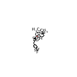 CC(C)[C@H]1CO[C@]23CCN(S(=O)(=O)CCCc4ccc(C(F)(F)F)cc4)C[C@H]2CCC(=O)N13